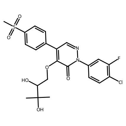 CC(C)(O)C(O)COc1c(-c2ccc(S(C)(=O)=O)cc2)cnn(-c2ccc(Cl)c(F)c2)c1=O